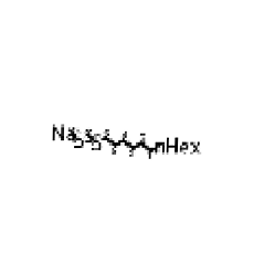 CCCCCCCCCCCCSS[S][Na]